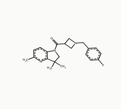 Cc1ccc2c(n1)C(C)(C)CN2C(=O)C1CN(Cc2ccc(F)cc2)C1